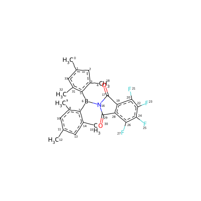 Cc1cc(C)c(B(c2c(C)cc(C)cc2C)N2C(=O)c3c(F)c(F)c(F)c(F)c3C2=O)c(C)c1